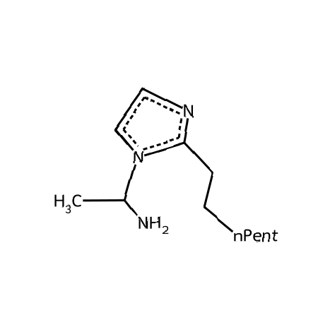 CCCCCCCc1nccn1C(C)N